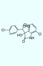 O=CC(c1ccc(Cl)cc1)C1(O)C(=O)Nc2c(Cl)ccc(Cl)c21